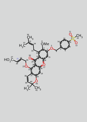 COc1c(OCc2ccc(S(C)(=O)=O)cc2)cc2oc3cc4c(c(OC/C=C/C(=O)O)c3c(=O)c2c1CC=C(C)C)C=CC(C)(C)O4